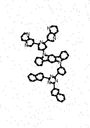 c1cc(-c2nc(-c3ccc4ccccc4c3)nc(-c3ccc4ccccc4c3)n2)cc(-n2c3ccccc3c3cc4c(cc32)c2ccccc2n4-c2cc(-c3cnc4cccnc4c3)nc(-c3cnc4cccnc4c3)c2)c1